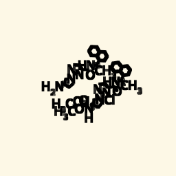 C[C@@H](NC(=O)c1ccnc(N2CC[C@@H](N)C2)n1)c1cccc2ccccc12.C[C@@H](NC(=O)c1ccnc(N2CC[C@@H](NC(=O)OC(C)(C)C)C2)n1)c1cccc2ccccc12.Cl